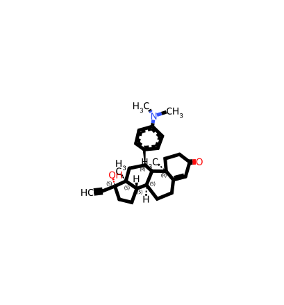 C#C[C@]1(O)CC[C@H]2[C@@H]3CCC4=CC(=O)CC[C@]4(C)C3[C@H](c3ccc(N(C)C)cc3)C[C@@]21C